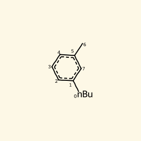 C[CH]CCc1cccc(C)c1